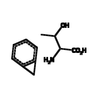 CC(O)C(N)C(=O)O.c1ccc2c(c1)C2